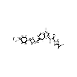 O=C(Nc1c[nH]c2ccc(O[C@H]3C[C@@H](c4ccc(C(F)(F)F)cc4)C3)cc12)C1CC2(CC2)C1